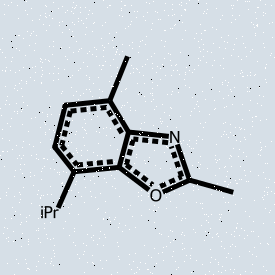 Cc1nc2c(C)ccc(C(C)C)c2o1